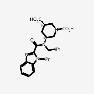 CC(C)CN(C(=O)c1nc2ccccc2n1C(C)C)[C@H]1C[C@@H](C(=O)O)CN(C(=O)O)C1